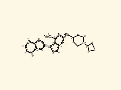 COc1nc(NC2CCN(C3COC3)CC2)nn2ccc(-c3ccc4nccnc4c3)c12